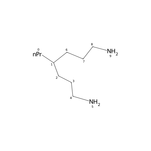 CCCC(CCCN)CCCN